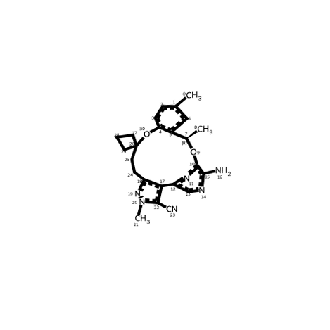 Cc1ccc2c(c1)[C@@H](C)Oc1nc(cnc1N)-c1c(nn(C)c1C#N)CCC1(CCC1)O2